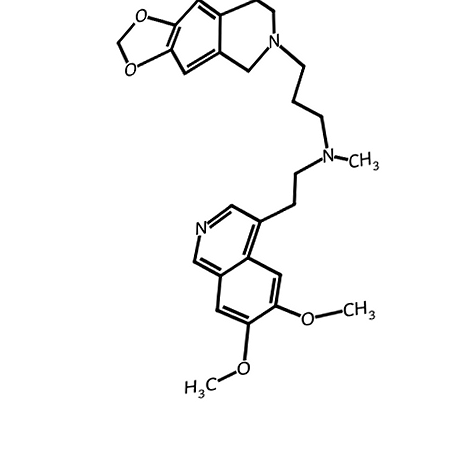 COc1cc2cncc(CCN(C)CCCN3CCc4cc5c(cc4C3)OCO5)c2cc1OC